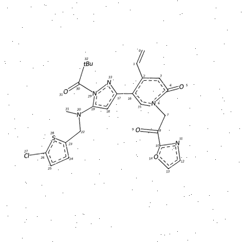 C=Cc1cc(=O)n(CC(=O)c2ncco2)cc1-c1cc(N(C)Cc2ccc(Cl)s2)n(C(=O)C(C)(C)C)n1